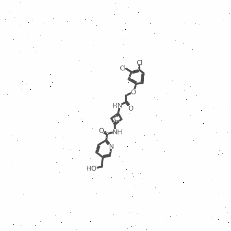 O=C(COc1ccc(Cl)c(Cl)c1)NC12CC(NC(=O)c3ccc(CO)cn3)(C1)C2